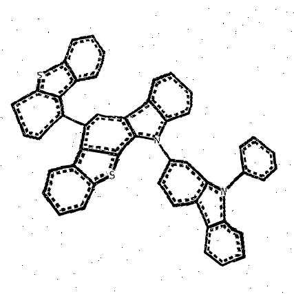 c1ccc(-n2c3ccccc3c3ccc(-n4c5ccccc5c5cc(-c6cccc7sc8ccccc8c67)c6c7ccccc7sc6c54)cc32)cc1